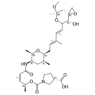 CO[C@@]1(C)C[C@@]2(CO2)[C@H](O)C(/C=C/C(C)=C/C[C@@H]2O[C@H](C)[C@H](NC(=O)/C=C\[C@H](C)OC(=O)N3CC[C@H](C(=O)O)C3)C[C@@H]2C)O1